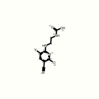 N#Cc1cc(F)c(NCCNC(=O)O)nc1Cl